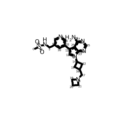 CS(=O)(=O)NCc1cncc(-c2cn(C3CC(CN4CCC4)C3)c3ncnc(N)c23)c1